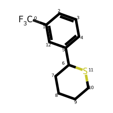 FC(F)(F)c1cccc(C2CCCCS2)c1